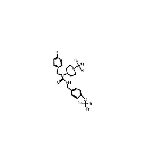 [2H]C([2H])(Oc1ccc(CNC(=O)N(Cc2ccc(F)cc2)C2CCN(C([2H])([2H])[2H])CC2)cc1)C(C)C